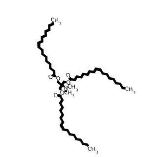 CCCCCCCC/C=C\CCCCCCCC(=O)OCC(COC(=O)CCCCCCC/C=C\CCCCCCCC)(COC(=O)CCCCCCC/C=C\CCCCCCCC)N(C)C